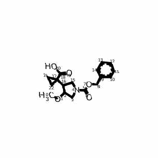 COC1CN(C(=O)OCc2ccccc2)CC1C1(C(=O)O)CC1